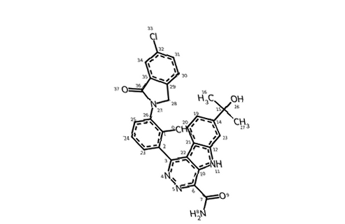 Cc1c(-c2nnc(C(N)=O)c3[nH]c4cc(C(C)(C)O)ccc4c23)cccc1N1Cc2ccc(Cl)cc2C1=O